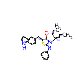 C=C/C=C(\C=C/C)CN1C(=O)/C(=C/c2ccc3[nH]ccc3c2)S/C1=N\c1ccccc1